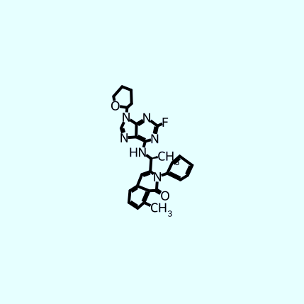 Cc1cccc2cc([C@H](C)Nc3nc(F)nc4c3ncn4C3CCCCO3)n(-c3ccccc3)c(=O)c12